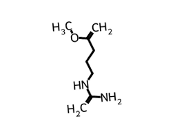 C=C(N)NCCCC(=C)OC